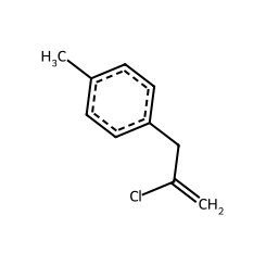 C=C(Cl)Cc1ccc(C)cc1